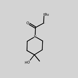 CC(C)(C)[CH]C(=O)N1CCC(C)(O)CC1